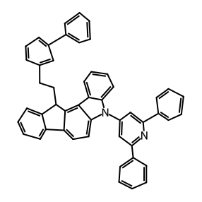 c1ccc(-c2cccc(CCC3c4ccccc4-c4ccc5c(c43)c3ccccc3n5-c3cc(-c4ccccc4)nc(-c4ccccc4)c3)c2)cc1